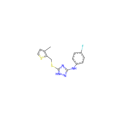 Cc1ccsc1CSc1nc(Nc2ccc(F)cc2)n[nH]1